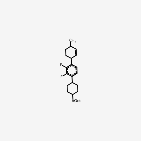 CCCCCCCCC1CCC(c2ccc(C3C=CC(C)CC3)c(F)c2F)CC1